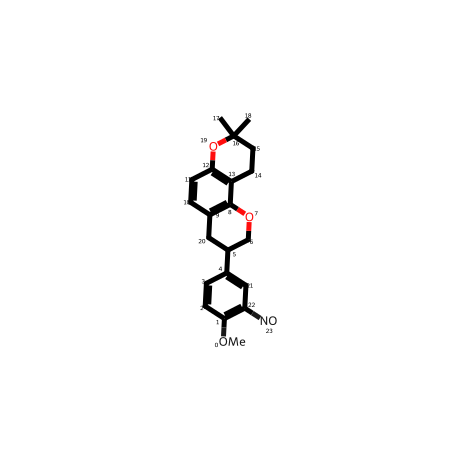 COc1ccc(C2COc3c(ccc4c3CCC(C)(C)O4)C2)cc1N=O